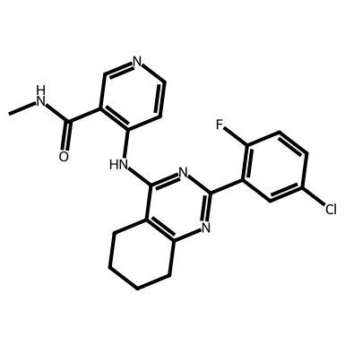 CNC(=O)c1cnccc1Nc1nc(-c2cc(Cl)ccc2F)nc2c1CCCC2